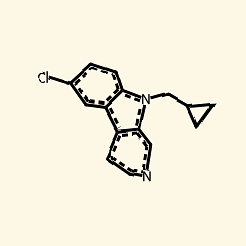 Clc1ccc2c(c1)c1ccncc1n2CC1CC1